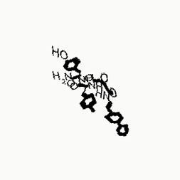 Cc1ccc(C[C@H](NC(=O)C2OC2C(=O)NCCc2ccc(-c3ccccc3)cc2)C(=O)N[C@@H](Cc2ccc(O)cc2)C(N)=O)cc1